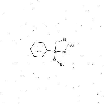 CCCCN[Si](OCC)(OCC)C1CCCCC1